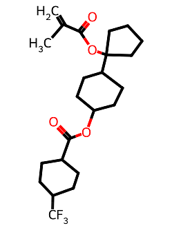 C=C(C)C(=O)OC1(C2CCC(OC(=O)C3CCC(C(F)(F)F)CC3)CC2)CCCC1